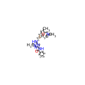 Cc1cc(CSCCNc2nc(NC(=O)c3ccccc3)nn2C)oc1CN(C)C